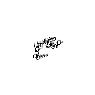 COC(=O)Cc1cccc(NC(=O)NCC(=O)N(CC(=O)N(C)c2ccccc2)c2ccccc2OCC(=O)N(C)c2cc(C)cc(C)c2)c1